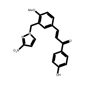 COc1ccc(/C=C/C(=O)c2ccc(O)cc2)cc1Cn1ccc([N+](=O)[O-])n1